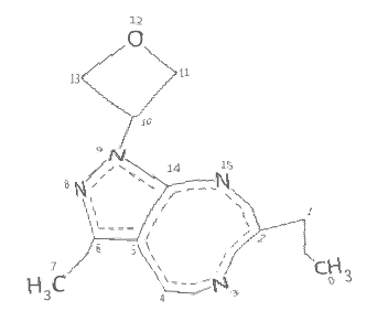 CCc1ncc2c(C)nn(C3COC3)c2n1